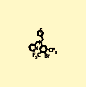 FC(F)(F)c1cc(N(Cc2ccsc2)Cc2ccccn2)cc(C(F)(F)F)c1Br